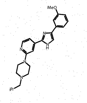 COc1cccc(-c2c[nH]c(-c3ccnc(N4CCN(CC(C)C)CC4)c3)n2)c1